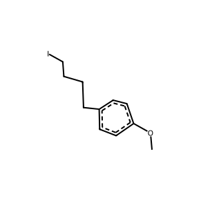 COc1ccc(CCCCI)cc1